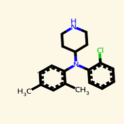 Cc1[c]cc(N(c2ccccc2Cl)C2CCNCC2)c(C)c1